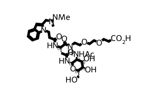 CNN(C)Cc1cc2ccccc2n1CCC(=O)N[C@@H](CC(=O)N[C@H]1O[C@@H](CO)[C@H](O)[C@@H](O)[C@@H]1NC(C)=O)C(=O)NCCOCCOCCC(=O)O